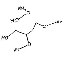 CC(C)OCC(CO)OC(C)C.OCl.[AlH3]